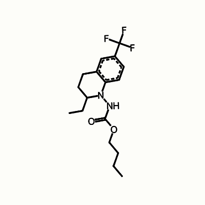 CCCCOC(=O)NN1c2ccc(C(F)(F)F)cc2CCC1CC